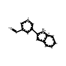 O=Cc1cncc(-c2cc3ccccc3[nH]2)c1